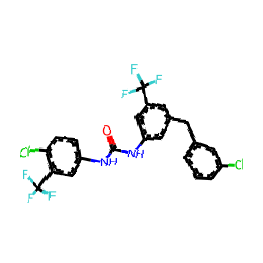 O=C(Nc1cc(Cc2cccc(Cl)c2)cc(C(F)(F)F)c1)Nc1ccc(Cl)c(C(F)(F)F)c1